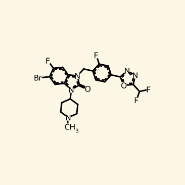 CN1CCC(n2c(=O)n(Cc3ccc(-c4nnc(C(F)F)o4)cc3F)c3cc(F)c(Br)cc32)CC1